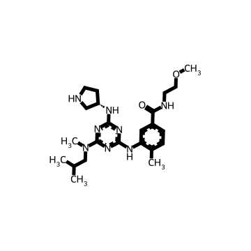 COCCNC(=O)c1ccc(C)c(Nc2nc(N[C@H]3CCNC3)nc(N(C)CC(C)C)n2)c1